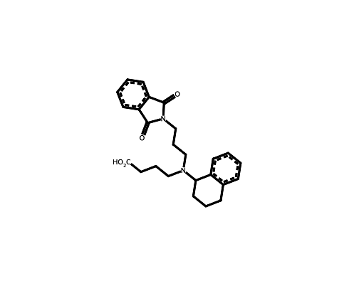 O=C(O)CCCN(CCCN1C(=O)c2ccccc2C1=O)C1CCCc2ccccc21